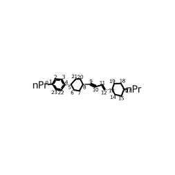 CCCc1ccc([C@H]2CC[C@H](C#CC=C[C@H]3CC[C@H](CCC)CC3)CC2)cc1